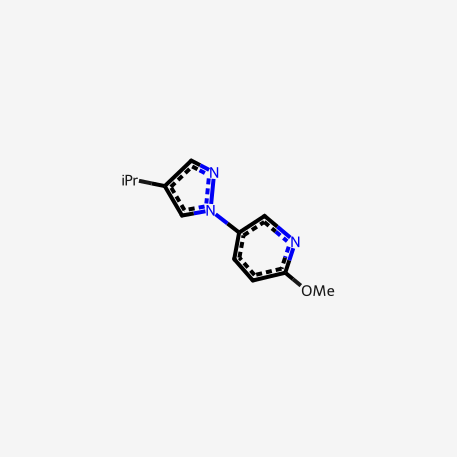 COc1ccc(-n2cc(C(C)C)cn2)cn1